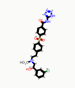 O=C(Nc1nnn[nH]1)c1ccc(S(=O)(=O)c2ccc(CCN(C[C@H](O)c3cccc(Cl)c3)C(=O)O)cc2)cc1